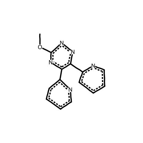 COc1nnc(-c2ccccn2)c(-c2ccccn2)n1